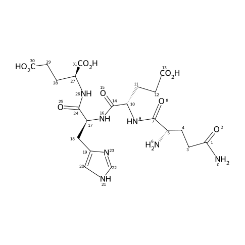 NC(=O)CC[C@H](N)C(=O)N[C@@H](CCC(=O)O)C(=O)N[C@@H](Cc1c[nH]cn1)C(=O)N[C@@H](CCC(=O)O)C(=O)O